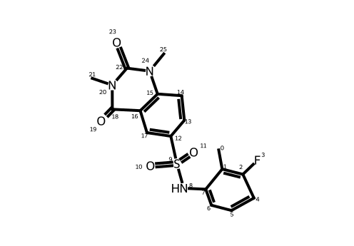 Cc1c(F)cccc1NS(=O)(=O)c1ccc2c(c1)c(=O)n(C)c(=O)n2C